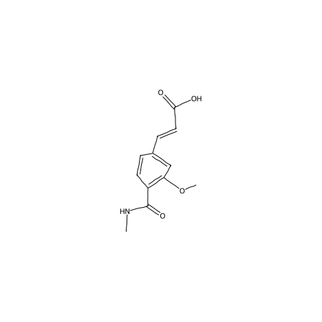 CNC(=O)c1ccc(C=CC(=O)O)cc1OC